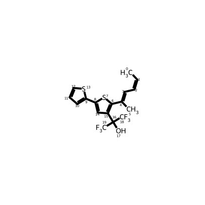 C/C=C\C=C(/C)c1sc(-c2cccs2)cc1C(O)(C(F)(F)F)C(F)(F)F